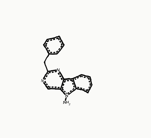 Nn1c2ccccc2c2nc(Cc3ccccc3)ncc21